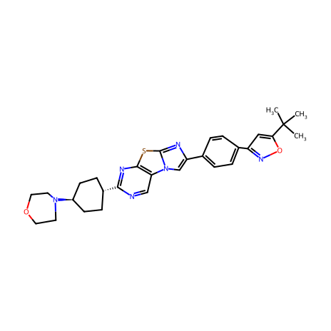 CC(C)(C)c1cc(-c2ccc(-c3cn4c(n3)sc3nc([C@H]5CC[C@H](N6CCOCC6)CC5)ncc34)cc2)no1